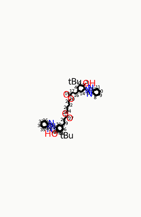 CC(C)(C)C1=C(O)C(n2nc3ccccc3n2)=CC(CCC(=O)OCCCCOC(=O)CCc2cc(-n3nc4ccccc4n3)c(O)c(C(C)(C)C)c2)C1